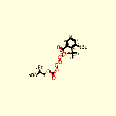 CCCCC(CC)COC(=O)OOOOOC(=O)c1cccc(C(C)(C)C)c1C(C)(C)CCC